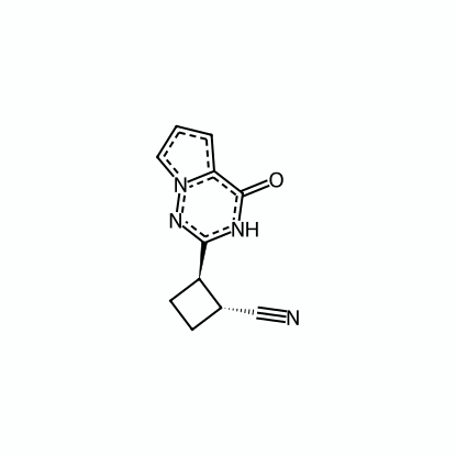 N#C[C@@H]1CC[C@H]1c1nn2cccc2c(=O)[nH]1